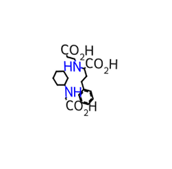 O=C(O)CCN[C@H](CCc1ccccc1)C(=O)O.O=C(O)CNC1CCCCC1